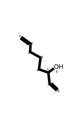 C=CCCCC(O)C=C